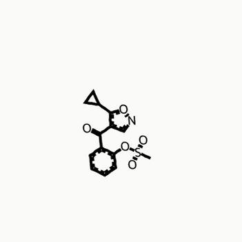 CS(=O)(=O)Oc1ccccc1C(=O)c1cnoc1C1CC1